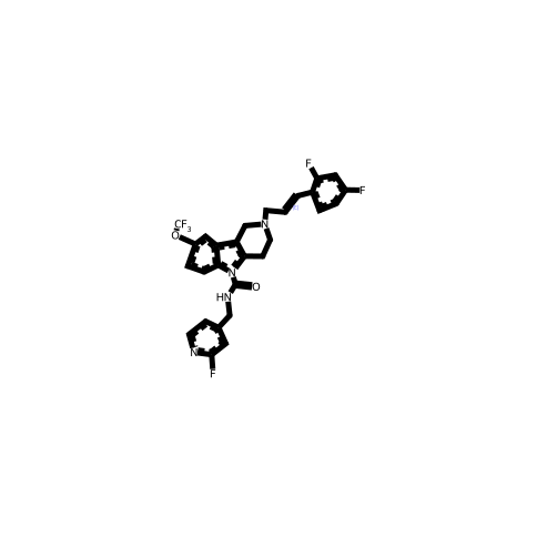 O=C(NCc1ccnc(F)c1)n1c2c(c3cc(OC(F)(F)F)ccc31)CN(C/C=C/c1ccc(F)cc1F)CC2